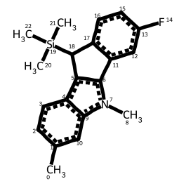 Cc1ccc2c3c(n(C)c2c1)-c1cc(F)ccc1C3[Si](C)(C)C